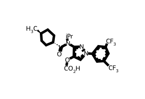 CC(C)N(c1nn(-c2cc(C(F)(F)F)cc(C(F)(F)F)c2)cc1OC(=O)O)C(=O)[C@H]1CC[C@H](C)CC1